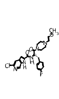 COCCN1CCN(C(=O)[C@H](Cc2ccc(F)cc2)NC(=O)c2cc3cc(Cl)ncc3[nH]2)CC1